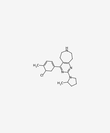 CC1=CC=C(c2nc(N3CCCC3C)nc3c2CCNCC3)CC1Cl